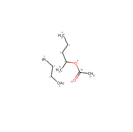 CC(=O)OCCC(C)C.CCCC(C)OC(C)=O